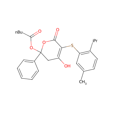 CCCCC(=O)OC1(c2ccccc2)CC(O)=C(Sc2cc(C)ccc2C(C)C)C(=O)O1